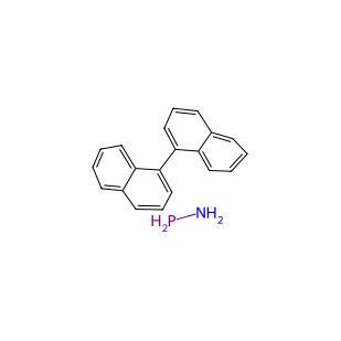 NP.c1ccc2c(-c3cccc4ccccc34)cccc2c1